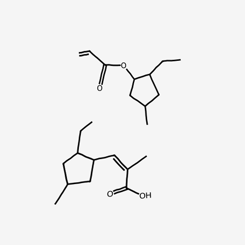 C=CC(=O)OC1CC(C)CC1CC.CCC1CC(C)CC1C=C(C)C(=O)O